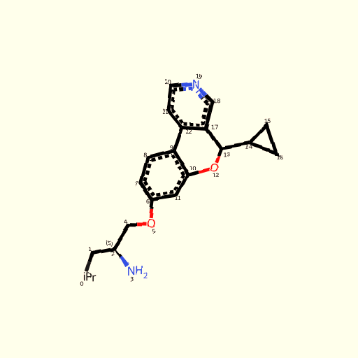 CC(C)C[C@H](N)COc1ccc2c(c1)OC(C1CC1)c1cnccc1-2